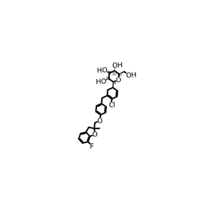 CC1(COc2ccc(CC3=C(Cl)C=CC([C@@H]4O[C@H](CO)[C@@H](O)[C@H](O)[C@H]4O)C3)cc2)Cc2cccc(F)c2O1